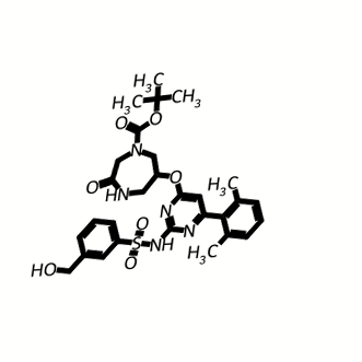 Cc1cccc(C)c1-c1cc(OC2CNC(=O)CN(C(=O)OC(C)(C)C)C2)nc(NS(=O)(=O)c2cccc(CO)c2)n1